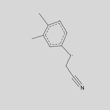 Cc1ccc([CH]CC#N)cc1C